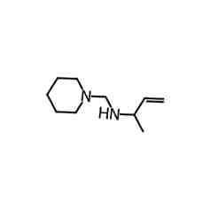 C=CC(C)NCN1CCCCC1